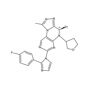 CC[C@@H]1c2nnc(C)n2-c2cnc(-n3ccnc3-c3ccc(F)cc3)nc2N1C1CCOC1